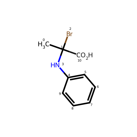 CC(Br)(Nc1ccccc1)C(=O)O